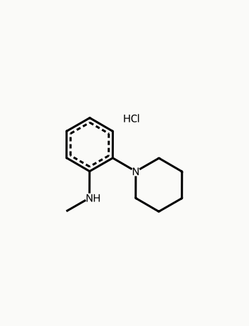 CNc1ccccc1N1CCCCC1.Cl